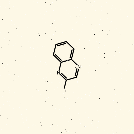 [Li][c]1cnc2ccccc2n1